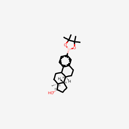 CC1(C)OB(c2ccc3c(c2)CC[C@@H]2C3CC[C@]3(C)[C@@H](O)CC[C@@H]23)OC1(C)C